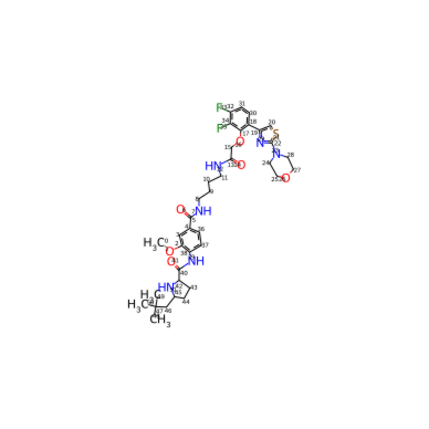 COc1cc(C(=O)NCCCCNC(=O)COc2c(-c3csc(N4CCOCC4)n3)ccc(F)c2F)ccc1NC(=O)C1CCC(CC(C)(C)C)N1